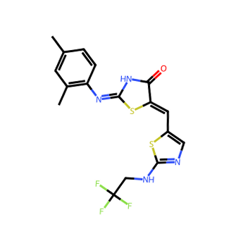 Cc1ccc(N=C2NC(=O)C(=Cc3cnc(NCC(F)(F)F)s3)S2)c(C)c1